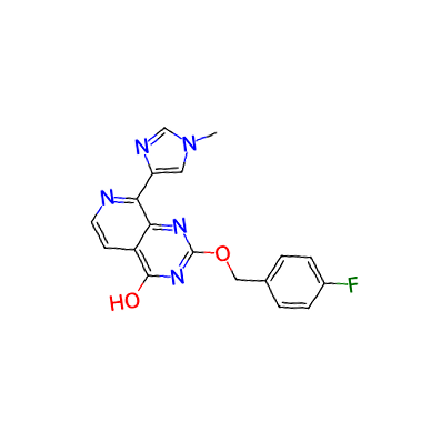 Cn1cnc(-c2nccc3c(O)nc(OCc4ccc(F)cc4)nc23)c1